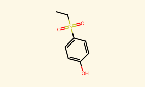 CCS(=O)(=O)c1ccc(O)cc1